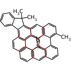 Cc1cccc(N(c2ccc3c(c2)C(C)(C)c2ccccc2-3)c2ccccc2-c2ccccc2)c1-c1ccccc1[SiH](c1ccccc1)c1ccccc1